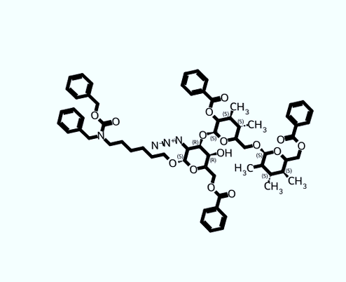 CC1[C@@H](OCC2O[C@@H](O[C@@H]3C(N=[N+]=[N-])[C@@H](OCCCCCCN(Cc4ccccc4)C(=O)OCc4ccccc4)OC(COC(=O)c4ccccc4)[C@@H]3O)C(OC(=O)c3ccccc3)[C@@H](C)[C@@H]2C)OC(COC(=O)c2ccccc2)[C@@H](C)[C@@H]1C